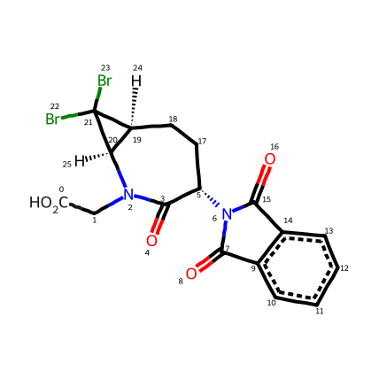 O=C(O)CN1C(=O)[C@@H](N2C(=O)c3ccccc3C2=O)CC[C@H]2[C@@H]1C2(Br)Br